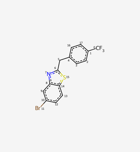 FC(F)(F)c1ccc(Cc2nc3cc(Br)ccc3s2)cc1